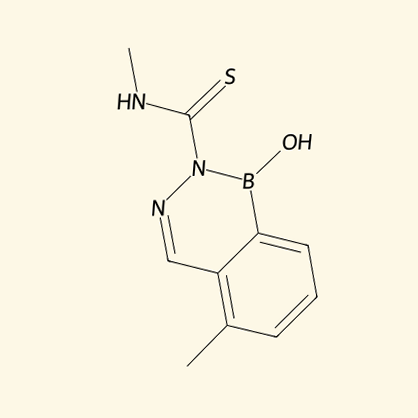 CNC(=S)N1N=Cc2c(C)cccc2B1O